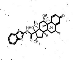 C[C@@H]1C[C@H]2[C@@H]3C[C@H](F)C4=CC(=O)C=C[C@]4(C)[C@@]3(F)[C@@H](O)C[C@]2(C)[C@@]1(O)C(=O)Nc1nc2ccccc2s1